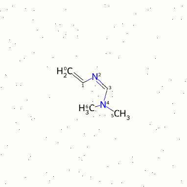 C=C/N=C\N(C)C